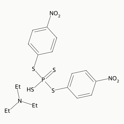 CCN(CC)CC.O=[N+]([O-])c1ccc(SP(=S)(S)Sc2ccc([N+](=O)[O-])cc2)cc1